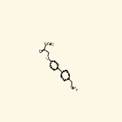 COC(=O)COc1ccc(-c2ccc(CN)cc2)cc1